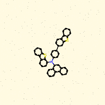 c1ccc2c(c1)cc(N(c1ccc(-c3ccc4c(c3)sc3ccccc34)cc1)c1cccc3c1sc1ccccc13)c1ccccc12